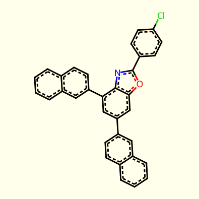 Clc1ccc(-c2nc3c(-c4ccc5ccccc5c4)cc(-c4ccc5ccccc5c4)cc3o2)cc1